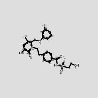 CCc1cccc(OCc2c(Cl)cc(Cl)c(=O)n2CCc2ccc(C(=O)NS(=O)(=O)CCO)cc2)c1